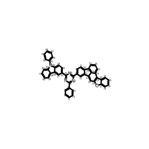 c1ccc(-c2nc(-c3ccc4c(c3)-c3cc5oc6ccccc6c5c5cccc-4c35)nc(-c3ccc4c(c3)c3ccccc3n4-c3ccccc3)n2)cc1